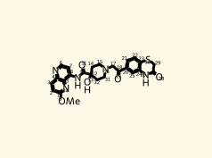 COc1ccc2nccc(NC(=O)C3(O)CCN(CC(=O)c4ccc5c(c4)NC(=O)CS5)CC3)c2n1